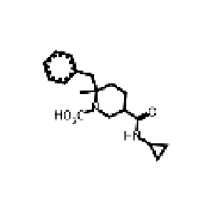 C[C@@]1(Cc2ccccc2)CCC(C(=O)NC2CC2)CN1C(=O)O